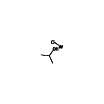 CC(C)O.[Cl][W]